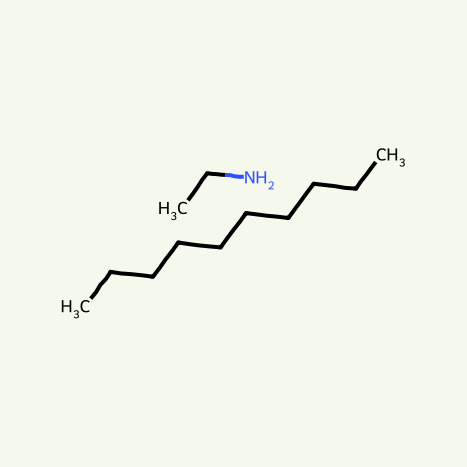 CCCCCCCCCC.CCN